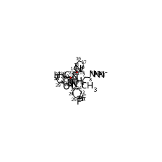 Cc1nnc(C(C)CCN=[N+]=[N-])n1C1CC2CCC(C1)N2CC[C@H](NC(=O)C1CCC(F)(F)CC1)c1ccccc1